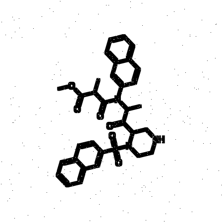 COC(=O)C(C)C(=O)N(c1ccc2ccccc2c1)C(C)C(=O)C1CNCCN1S(=O)(=O)c1ccc2ccccc2c1